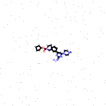 CN1CCN(c2cc(-c3ccc4c(c3)CN(C(=O)OC3CCCC3)CC4)nc(N)n2)CC1